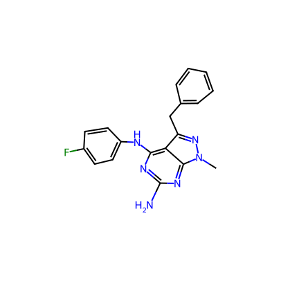 Cn1nc(Cc2ccccc2)c2c(Nc3ccc(F)cc3)nc(N)nc21